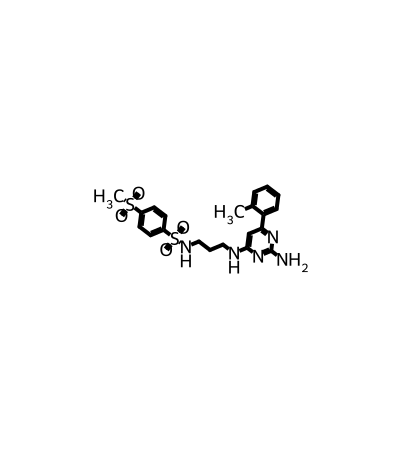 Cc1ccccc1-c1cc(NCCCNS(=O)(=O)c2ccc(S(C)(=O)=O)cc2)nc(N)n1